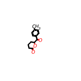 Cc1ccc(C(=O)C2CCCC(=O)O2)cc1